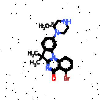 C[C@@H]1CNCCN1c1ccc2c(c1)-n1c(nc(=O)c3c(Br)cccc31)C2(C)C